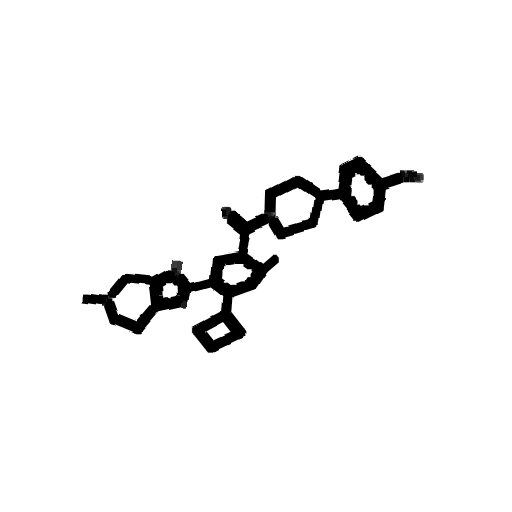 CNc1ccc(C2CCN(C(=O)c3cc(-c4nc5c([nH]4)CN(C)CC5)c(C4CCC4)cc3C)CC2)cc1